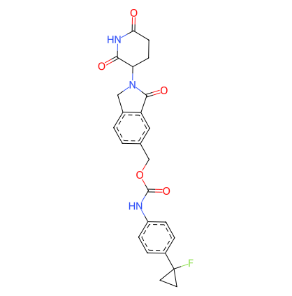 O=C1CCC(N2Cc3ccc(COC(=O)Nc4ccc(C5(F)CC5)cc4)cc3C2=O)C(=O)N1